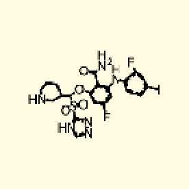 NC(=O)c1c(Nc2ccc(I)cc2F)cc(F)cc1OC(C1CCCNC1)S(=O)(=O)c1nnc[nH]1